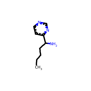 CCCCC(N)c1ccncn1